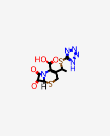 CC(Sc1nnn[nH]1)C1=C(C(=O)O)N2C(=O)C(=O)[C@@H]2SC1